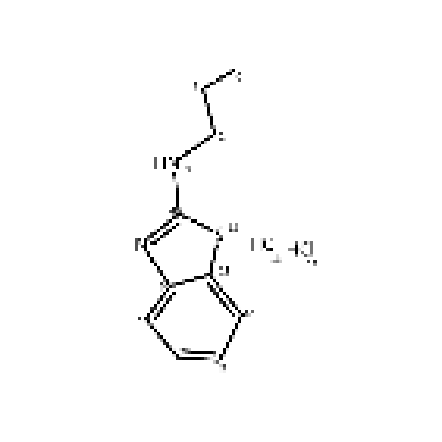 CCCNc1nc2ccccc2s1.Cl.Cl